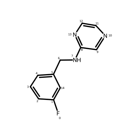 Fc1cccc(CNc2cnccn2)c1